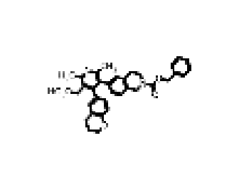 Cc1nc(C)c(-c2ccc3c(c2)CCN(C(=O)OCc2ccccc2)C3)c(-c2ccc3c(c2)CCCO3)c1CC(=O)O